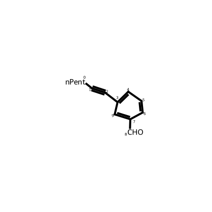 CCCCCC#Cc1cccc(C=O)c1